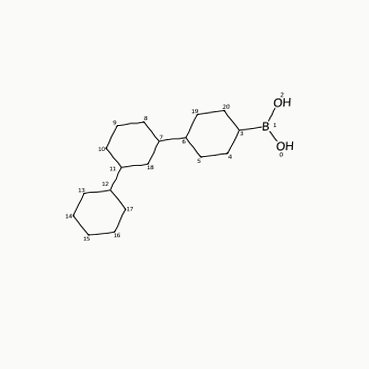 OB(O)C1CCC(C2CCCC(C3CCCCC3)C2)CC1